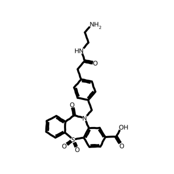 NCCNC(=O)Cc1ccc(CN2C(=O)c3ccccc3S(=O)(=O)c3ccc(C(=O)O)cc32)cc1